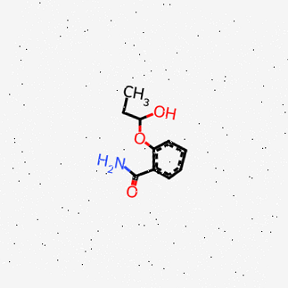 CCC(O)Oc1ccccc1C(N)=O